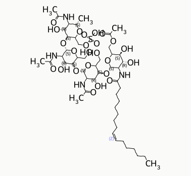 CCCCCC/C=C\CCCCCCCC(=O)NC1[C@H](O[C@@H]2C(CO)O[C@@H](O[C@@H]3C(CO)O[C@@H](O[C@@H]4C(COS(=O)(=O)O)O[C@@H](C)C(NC(C)=O)[C@H]4O)C(NC(C)=O)[C@H]3O)C(NC(C)=O)[C@H]2O)OC(COC(C)=O)[C@@H](O)[C@@H]1O